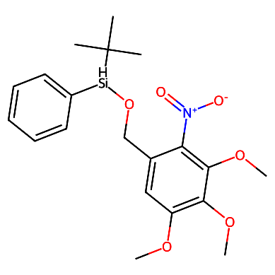 COc1cc(CO[SiH](c2ccccc2)C(C)(C)C)c([N+](=O)[O-])c(OC)c1OC